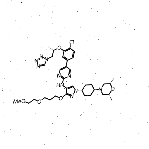 COCCOCCCOc1nn([C@H]2CC[C@H](N3C[C@@H](C)O[C@@H](C)C3)CC2)cc1Nc1ncc(-c2ccc(Cl)c(O[C@@H](C)Cn3cnnn3)c2)cn1